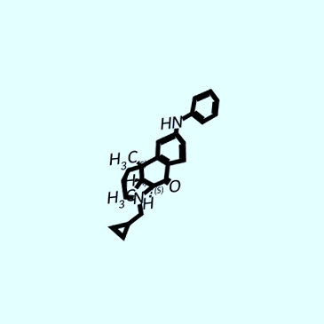 C[C@H]1[C@H]2C(=O)c3ccc(Nc4ccccc4)cc3[C@@]1(C)CCCN2CC1CC1